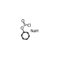 O=S(Cl)Oc1ccccc1.[NaH]